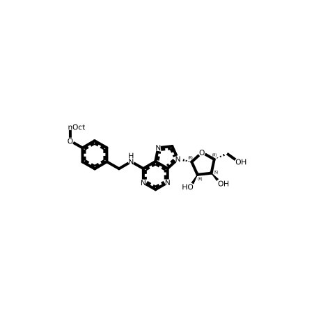 CCCCCCCCOc1ccc(CNc2ncnc3c2ncn3[C@@H]2O[C@H](CO)[C@@H](O)[C@H]2O)cc1